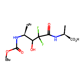 CCC[C@H](NC(=O)OC(C)(C)C)C(O)C(F)(F)C(=O)N[C@@H](C)C(=O)O